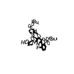 CC(C)(C)OC(=O)Oc1cccc(F)c1-c1nc(N2CC[C@H](O)C2)c2c(c1Cl)OC[C@H]1CN(C(=O)OC(C)(C)C)CCN1C2=O